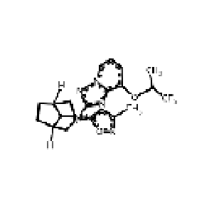 Cc1cc(N2C[C@H]3CC[C@@H](C2)C3Nc2nc3c(OC(C)C(F)(F)F)cccn3n2)on1